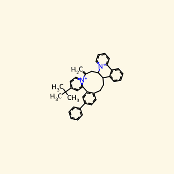 C=C1CC2C(CCc3ccc(-c4ccccc4)cc3-c3cc(C(C)(C)C)cc[n+]31)c1ccccc1-c1cccc[n+]12